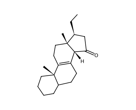 CC[C@H]1CC(=O)[C@@H]2C3=C(CC[C@]12C)[C@@]1(C)CCCCC1CC3